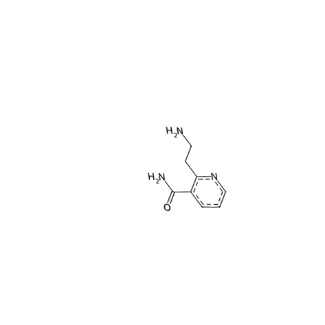 NCCc1ncccc1C(N)=O